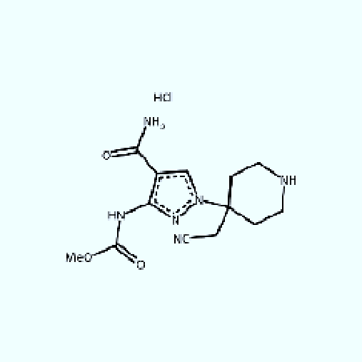 COC(=O)Nc1nn(C2(CC#N)CCNCC2)cc1C(N)=O.Cl